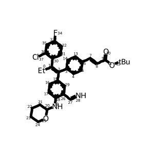 CC/C(=C(/c1ccc(/C=C/C(=O)OC(C)(C)C)cc1)c1ccc(NC2CCCCO2)c(C=N)c1)c1ccc(F)cc1Cl